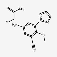 COc1c(C#N)cc(N)cc1-n1cccn1.NC(=O)CCl